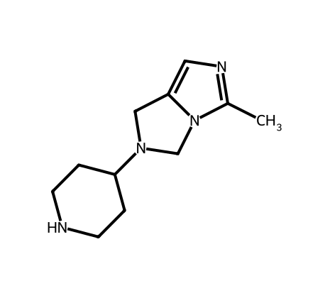 Cc1ncc2n1CN(C1CCNCC1)C2